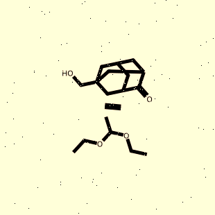 C=C.CCOC(C)OCC.O=C1C2CC3CC1CC(CO)(C3)C2